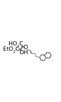 CCOC(=O)[C@H](O)[C@@H](OCC=CCCc1ccc2ccccc2c1)C(=O)O